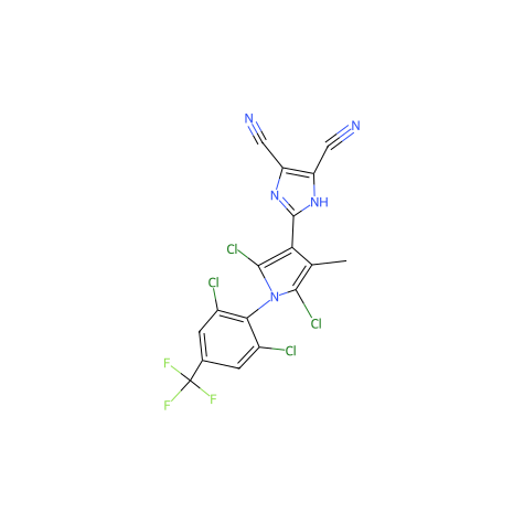 Cc1c(-c2nc(C#N)c(C#N)[nH]2)c(Cl)n(-c2c(Cl)cc(C(F)(F)F)cc2Cl)c1Cl